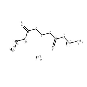 CNOC(=O)CCCC(=O)ONC.Cl